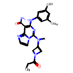 COc1cc(Nc2nc(N(C)C3CN(C(=O)CC#N)C3)n3ccnc3c2C(N)=O)cc(OC)c1